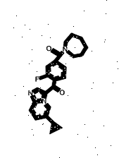 O=C(c1ccc(C(=O)N2CCCCCC2)cc1F)c1cnc2ccc(C3CC3)cn12